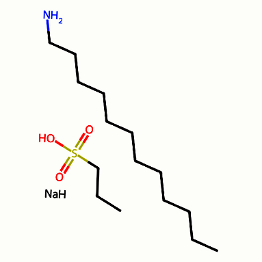 CCCCCCCCCCCCN.CCCS(=O)(=O)O.[NaH]